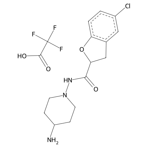 NC1CCN(NC(=O)C2Cc3cc(Cl)ccc3O2)CC1.O=C(O)C(F)(F)F